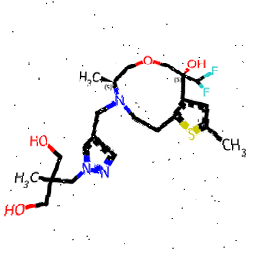 Cc1cc2c(s1)CCN(Cc1cnn(CC(C)(CO)CO)c1)[C@@H](C)COC[C@]2(O)C(F)F